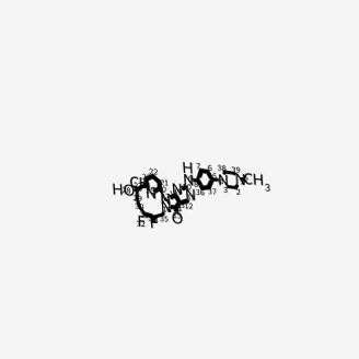 CN1CCN(c2ccc(Nc3ncc4c(=O)n5n(c4n3)-c3cccc(n3)C(C)(O)CC/C(F)=C(/F)C5)cc2)CC1